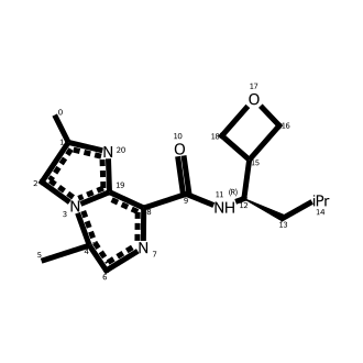 Cc1cn2c(C)cnc(C(=O)N[C@H](CC(C)C)C3COC3)c2n1